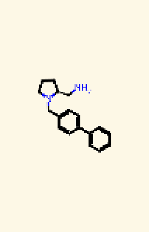 NC[C@@H]1CCCN1Cc1ccc(-c2ccccc2)cc1